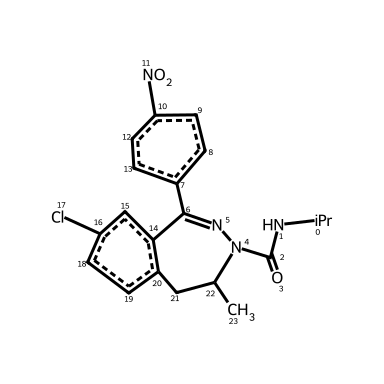 CC(C)NC(=O)N1N=C(c2ccc([N+](=O)[O-])cc2)c2cc(Cl)ccc2CC1C